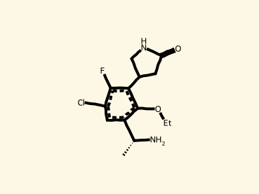 CCOc1c([C@@H](C)N)cc(Cl)c(F)c1C1CNC(=O)C1